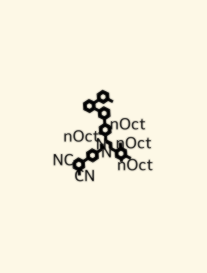 CCCCCCCCc1cc(-c2cc(-c3cc(CCCCCCCC)c(-c4cccc(-c5ccccc5-c5cccc(C)c5)c4)cc3CCCCCCCC)nc(-c3ccc(-c4cc(C#N)cc(C#N)c4)cc3)n2)c(CCCCCCCC)cc1C